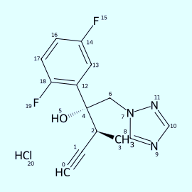 C#C[C@H](C)[C@](O)(Cn1cncn1)c1cc(F)ccc1F.Cl